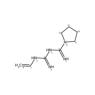 C=CNC(=N)NC(=N)N1CCCC1